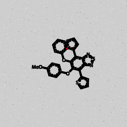 COc1ccc(Oc2c(Oc3ccccc3)c(-c3cccs3)c3nsnc3c2-c2cccs2)cc1